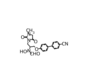 CN1CC(=O)N(CC(COc2ccc(-c3ccc(C#N)cc3)cc2)N(O)C=O)C1=O